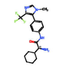 Cn1cnc(C(F)(F)F)c1-c1ccc(NC(=O)[C@@H](N)C2CCCCC2)cc1